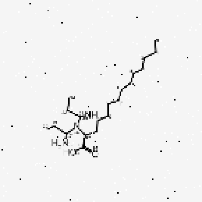 CCCCCCCCCCCCC(C(=O)O)N(C(N)CC)C(N)CC